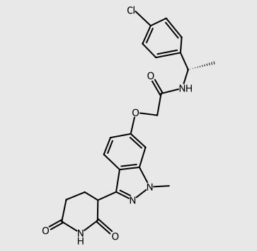 C[C@H](NC(=O)COc1ccc2c(C3CCC(=O)NC3=O)nn(C)c2c1)c1ccc(Cl)cc1